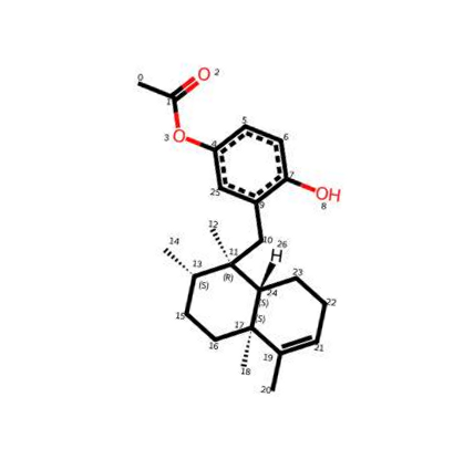 CC(=O)Oc1ccc(O)c(C[C@]2(C)[C@@H](C)CC[C@]3(C)C(C)=CCC[C@@H]23)c1